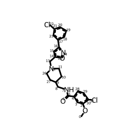 COc1cc(C(=O)NCC2CCN(Cc3cc(-c4cccc(Cl)c4)no3)CC2)ccc1Cl